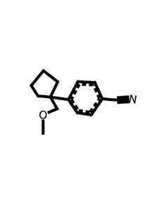 COCC1(c2ccc(C#N)cc2)CCCC1